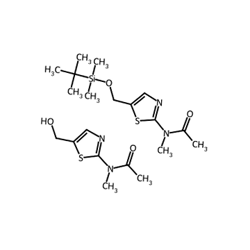 CC(=O)N(C)c1ncc(CO)s1.CC(=O)N(C)c1ncc(CO[Si](C)(C)C(C)(C)C)s1